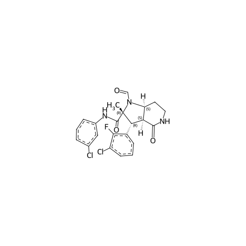 C[C@]1(C(=O)Nc2cccc(Cl)c2)[C@@H](c2cccc(Cl)c2F)[C@@H]2C(=O)NCC[C@@H]2N1C=O